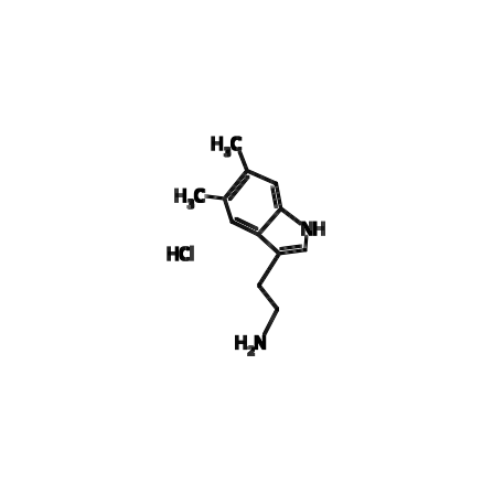 Cc1cc2[nH]cc(CCN)c2cc1C.Cl